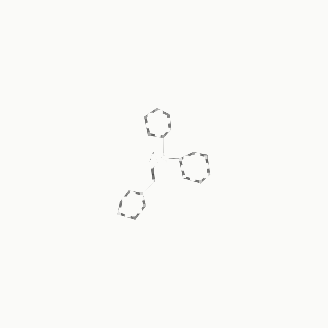 C(=C[As](c1ccccc1)c1ccccc1)c1ccccc1